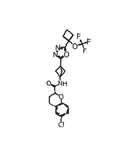 O=C(NC12CC(c3nnc(C4(OC(F)(F)F)CCC4)o3)(C1)C2)C1CCc2cc(Cl)ccc2O1